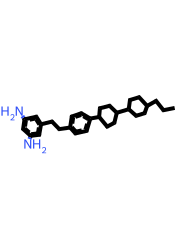 CCCC1CCC(C2CCC(c3ccc(CCc4cc(N)cc(N)c4)cc3)CC2)CC1